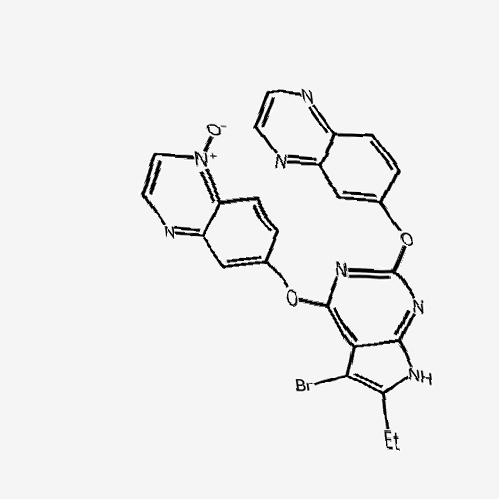 CCc1[nH]c2nc(Oc3ccc4nccnc4c3)nc(Oc3ccc4c(c3)ncc[n+]4[O-])c2c1Br